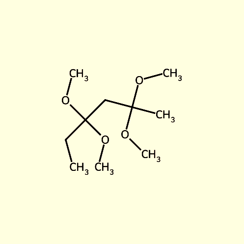 CCC(CC(C)(OC)OC)(OC)OC